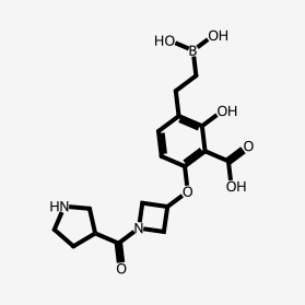 O=C(O)c1c(OC2CN(C(=O)C3CCNC3)C2)ccc(CCB(O)O)c1O